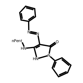 CCCCCNc1[nH]n(-c2ccccc2)c(=O)c1/N=N/c1ccccc1